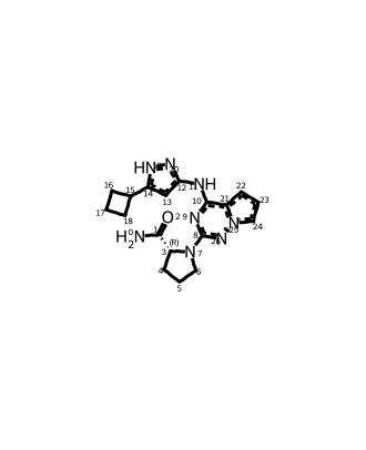 NC(=O)[C@H]1CCCN1c1nc(Nc2cc(C3CCC3)[nH]n2)c2cccn2n1